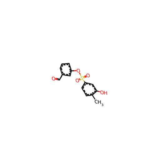 Cc1ccc(S(=O)(=O)Oc2cccc(C=O)c2)cc1O